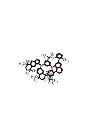 Cc1cccc(C)c1-c1cccc(N(c2cc(C(C)C)cc(N(c3ccc4c(c3)C(C)(C)CCC4(C)C)c3csc4cc5c(cc34)C(C)(C)CCC5(C)C)c2)c2ccc(C(C)(C)C)cc2-c2ccccc2)c1